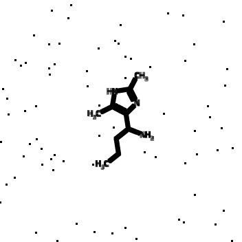 CCCC(N)c1nc(C)[nH]c1C